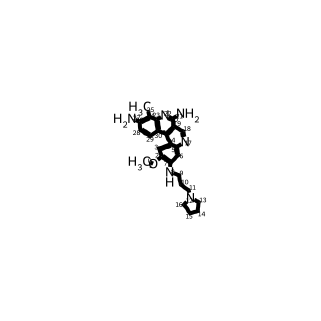 COc1cc2c(cc1NCCCN1CCCC1)ncc1c(N)nc3c(C)c(N)ccc3c12